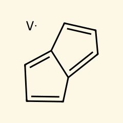 C1=CC2=CC=CC2=C1.[V]